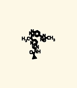 Cc1nc(-c2ccc3nnc(C(C)c4ccc5nc(NC(=O)C6CC6)cn5n4)n3c2)no1